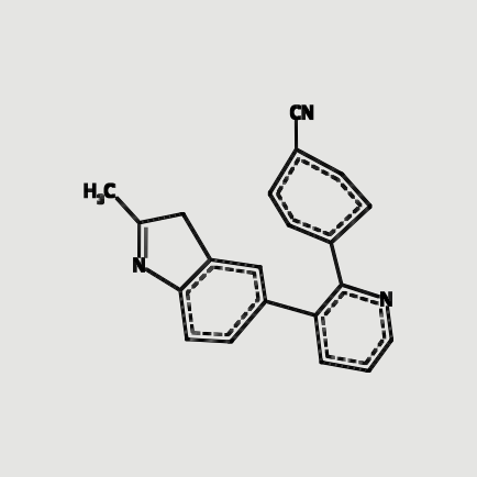 CC1=Nc2ccc(-c3cccnc3-c3ccc(C#N)cc3)cc2C1